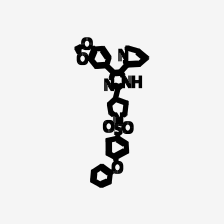 O=S(=O)(c1ccc(Oc2ccccc2)cc1)N1CCC(c2nc(-c3ccc4c(c3)OCO4)c(-c3ccccn3)[nH]2)CC1